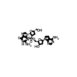 Nc1nc2c(ncn2[C@@H]2O[C@H](CO)C[C@H]2P(=O)(S)OC[C@H]2O[C@@H](n3ccc4c(N)ncnc43)C[C@@H]2O)c(=O)[nH]1